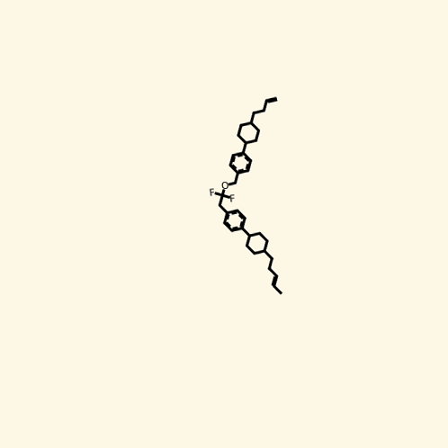 C=CCCC1CCC(c2ccc(COC(F)(F)Cc3ccc(C4CCC(CCC=CC)CC4)cc3)cc2)CC1